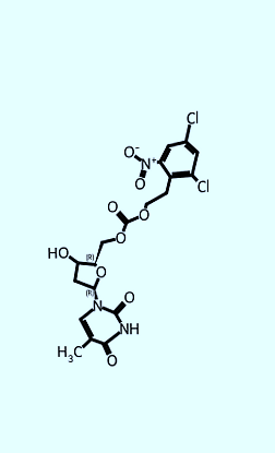 Cc1cn([C@H]2CC(O)[C@@H](COC(=O)OCCc3c(Cl)cc(Cl)cc3[N+](=O)[O-])O2)c(=O)[nH]c1=O